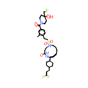 Cc1cc(C(=O)N2CCC(O)(CF)CC2)ccc1CCS(=O)(=O)N1CCCC=C=C(C2CCC(CC=C(F)F)CC2)NC(=O)CC1